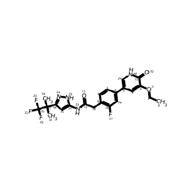 CCOc1cc(-c2ccc(CC(=O)Nc3cc(C(C)(C)C(F)(F)F)n[nH]3)c(F)c2)c[nH]c1=O